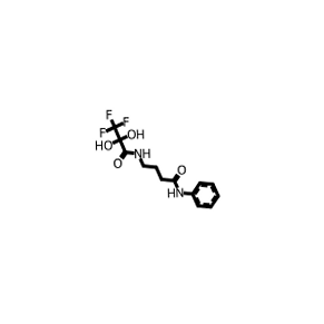 O=C(CCCNC(=O)C(O)(O)C(F)(F)F)Nc1ccccc1